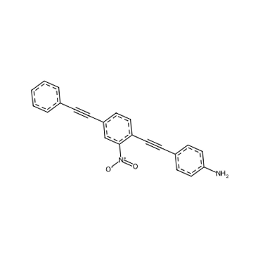 Nc1ccc(C#Cc2ccc(C#Cc3ccccc3)cc2[N+](=O)[O-])cc1